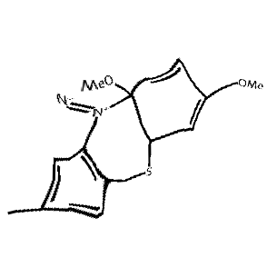 COC1=CC2Sc3ccc(C)cc3[N+](=[N-])C2(OC)C=C1